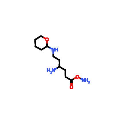 NOC(=O)CCC(N)CCNC1CCCCO1